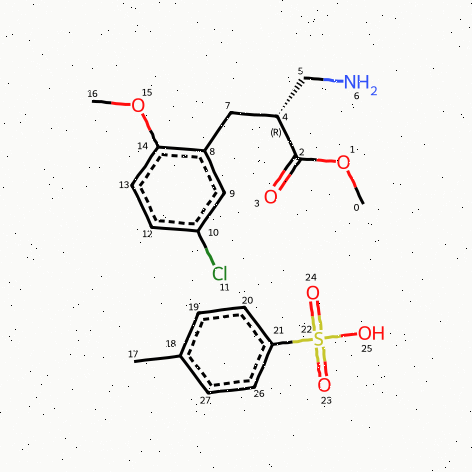 COC(=O)[C@@H](CN)Cc1cc(Cl)ccc1OC.Cc1ccc(S(=O)(=O)O)cc1